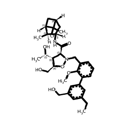 CCc1cc(CO)cc(-c2cccc(CN3O[C@@H](CO)[C@H]([C@H](C)O)[C@H]3C(=O)N[C@H]3C[C@H]4C[C@@H]([C@@H]3C)C4(C)C)c2OC)c1